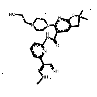 CN/C=C(\C=N)c1cccc(NC(=O)c2cc3c(nc2N2CCN(CCO)CC2)OC(C)(C)C3)n1